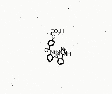 O=C(O)COc1ccc(C(=O)Nc2ccccc2[S+]([O-])c2ccccc2-c2nnn[nH]2)cc1